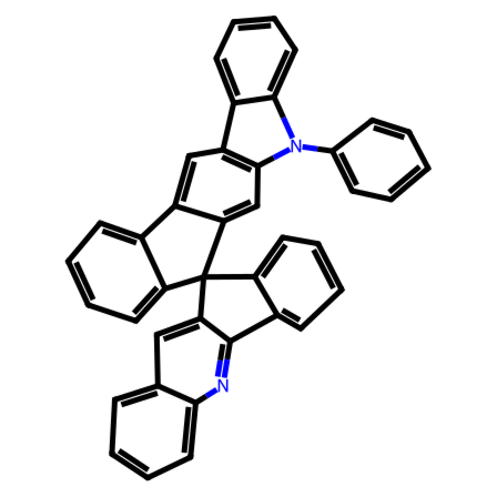 c1ccc(-n2c3ccccc3c3cc4c(cc32)C2(c3ccccc3-4)c3ccccc3-c3nc4ccccc4cc32)cc1